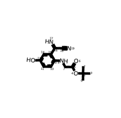 CC(C)(C)OC(=O)CNc1ccc(O)cc1C(=N)C#N